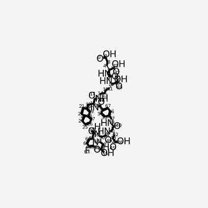 O=C(O)CC[C@H](NC(=O)N[C@@H](CCCCNC(=O)C(Cc1ccc2ccccc2c1)NC(=O)c1ccc(CNC(=O)[C@H](CCC(O)O)NC(=O)[C@H](CCC(=O)O)NC(=O)c2ccc(F)cn2)cc1)C(=O)O)C(=O)O